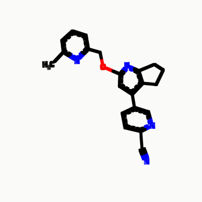 Cc1cccc(COc2cc(-c3ccc(C#N)nc3)c3c(n2)CCC3)n1